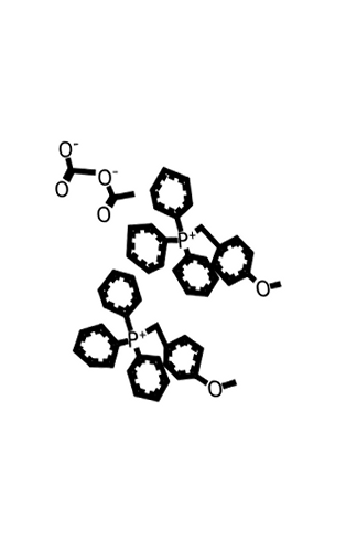 CC(=O)[O-].CC(=O)[O-].COc1ccc(C[P+](c2ccccc2)(c2ccccc2)c2ccccc2)cc1.COc1ccc(C[P+](c2ccccc2)(c2ccccc2)c2ccccc2)cc1